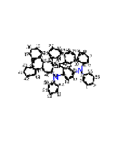 c1ccc(N(c2ccccc2)c2ccc3c(c2)[Si](c2ccccc2)(c2ccccc2)c2cc4c5ccccc5c5ccccc5c4cc2N3c2ccccc2)cc1